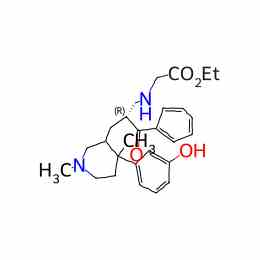 CCOC(=O)CNC[C@@H](CC1CN(C)CCC1(C)c1cccc(O)c1)C(=O)c1ccccc1